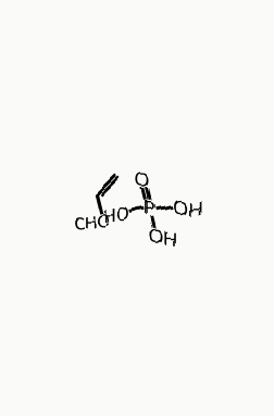 C=CC=O.O=P(O)(O)O